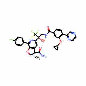 C[C@]1(C(N)=O)COc2c1cc([C@@](O)(CNC(=O)c1ccc(-c3cnccn3)c(OC3CC3)c1)C(F)(F)F)nc2-c1ccc(F)cc1